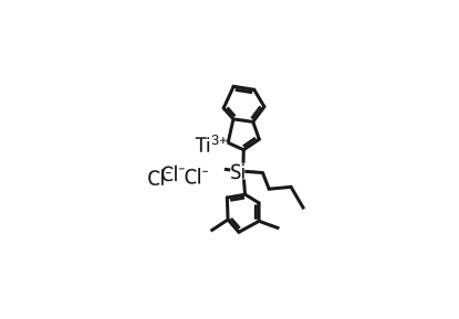 CCCC[Si](C)(C1=Cc2ccccc2[CH]1[Ti+3])c1cc(C)cc(C)c1.[Cl-].[Cl-].[Cl-]